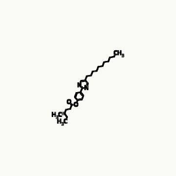 CCCCCCCCCCCc1cnc(-c2ccc(OC(=O)CC[C@@H](C)CC)cc2)nc1